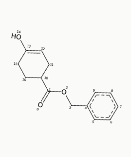 O=C(OCc1ccccc1)C1CC=C(O)CC1